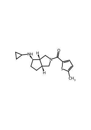 Cc1ccc(C(=O)N2C[C@@H]3CC[C@@H](NC4CC4)[C@@H]3C2)s1